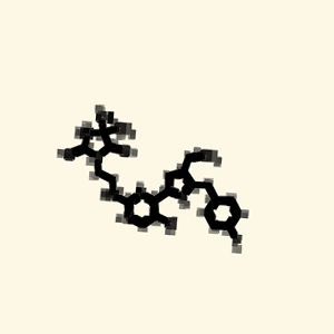 C=Cc1cc(-c2nc(NCCN3C(=O)NC(C)(C)C3=O)ncc2Cl)sc1Cc1ccc(F)cc1